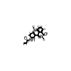 C=CC(=O)Nc1ccc(NC)c(-c2cn(C)c(=O)c3ccccc23)c1